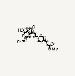 CCCOc1nc(O)c2[nH]c(=O)n(CCN3CCC(CCC(=O)OC)CC3)c2n1